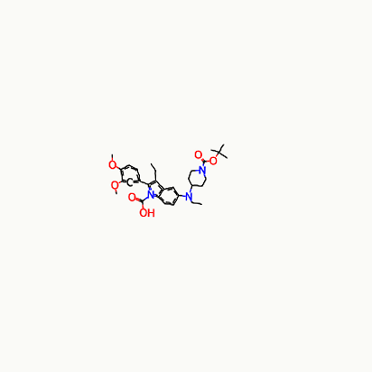 CCc1c(-c2ccc(OC)c(OC)c2)n(C(=O)O)c2ccc(N(CC)C3CCN(C(=O)OC(C)(C)C)CC3)cc12